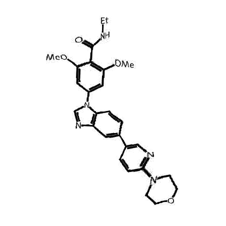 CCNC(=O)c1c(OC)cc(-n2cnc3cc(-c4ccc(N5CCOCC5)nc4)ccc32)cc1OC